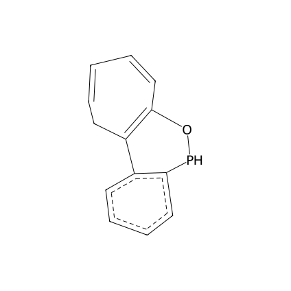 C1=CCC2=C(C=C1)OPc1ccccc12